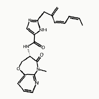 C=C(/C=C\C=C/C)Cc1ncc(C(=O)N[C@H]2COc3cccnc3N(C)C2=O)[nH]1